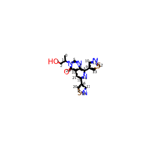 CC(CO)n1cnc2c(-c3cnsc3)nc(-c3cnsc3)cc2c1=O